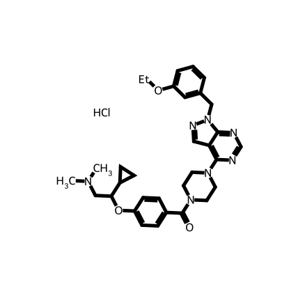 CCOc1cccc(Cn2ncc3c(N4CCN(C(=O)c5ccc(OC(CN(C)C)C6CC6)cc5)CC4)ncnc32)c1.Cl